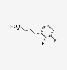 O=C(O)CCCc1ccnc(F)c1F